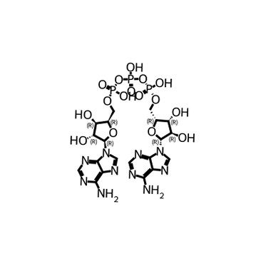 Nc1ncnc2c1ncn2[C@@H]1O[C@H](COP(=O)(O)OP(=O)(O)OP(=O)(O)OC[C@H]2O[C@@H](n3cnc4c(N)ncnc43)[C@H](O)[C@H]2O)[C@H](O)[C@H]1O